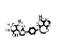 CC(C)C(C(O)O)N1CCN(c2ccc(N3CCOc4ncnc(N)c4C3=O)cc2)C1=O